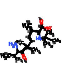 CC(C)C(N)C(=O)C(C)(C)CCC(C)C(NC(C)(C)C)C(=O)O